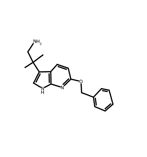 CC(C)(CN)c1c[nH]c2nc(OCc3ccccc3)ccc12